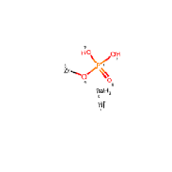 O=P(O)(O)[O][Zr].[BaH2].[Hf]